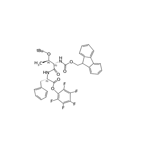 C[C@@H](OC(C)(C)C)[C@H](NC(=O)OCC1c2ccccc2-c2ccccc21)C(=O)N[C@@H](Cc1ccccc1)C(=O)Oc1c(F)c(F)c(F)c(F)c1F